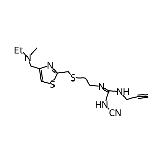 C#CCNC(=NCCSCc1nc(CN(C)CC)cs1)NC#N